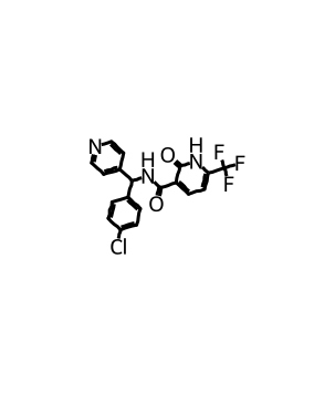 O=C(NC(c1ccncc1)c1ccc(Cl)cc1)c1ccc(C(F)(F)F)[nH]c1=O